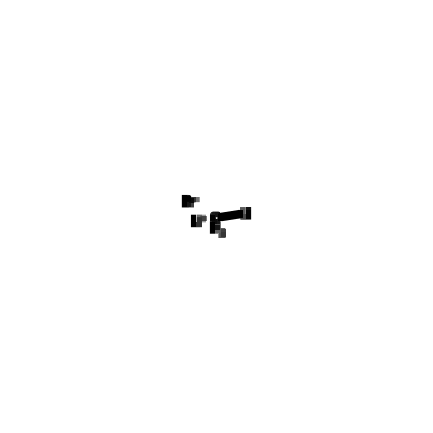 [Br-].[Li+].[Li][CH3]